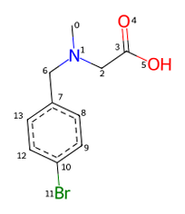 CN(CC(=O)O)Cc1ccc(Br)cc1